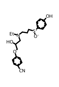 CCN(CCC[S+]([O-])c1ccc(O)cc1)CC(O)COc1ccc(C#N)cc1